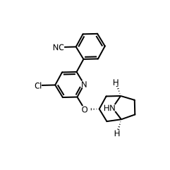 N#Cc1ccccc1-c1cc(Cl)cc(O[C@@H]2C[C@H]3CC[C@@H](C2)N3)n1